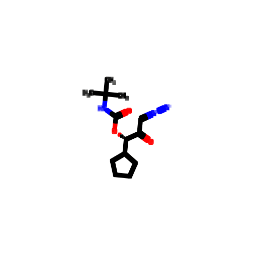 CC(C)(C)NC(=O)O[C@H](C(=O)C=[N+]=[N-])C1CCCC1